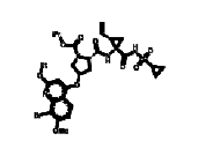 C=C[C@H]1C[C@]1(NC(=O)[C@@H]1C[C@@H](Oc2cc(OCC)nc3c(Br)c(OC)ccc23)CN1C(=O)OC(C)C)C(=O)NS(=O)(=O)C1CC1